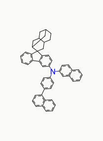 c1ccc2c(c1)-c1cc(N(c3ccc(-c4cccc5ccccc45)cc3)c3ccc4ccccc4c3)ccc1C21CC2CCC3CC2CC1C3